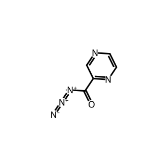 [N-]=[N+]=[N+]C(=O)c1cnccn1